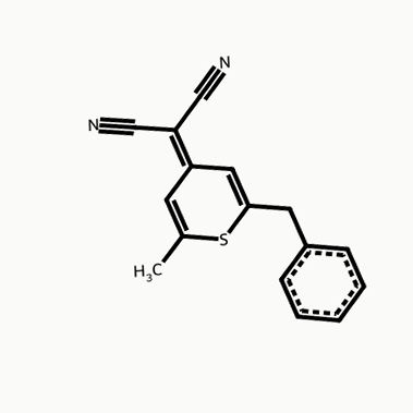 CC1=CC(=C(C#N)C#N)C=C(Cc2ccccc2)S1